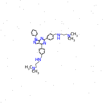 CN(C)CCCNCc1ccc(-c2nc(-c3ccc(CNCCCN(C)C)cc3)c3cnn(-c4ccccc4)c3n2)cc1